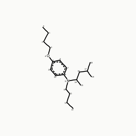 CCCCOc1ccc(N(CCCC)C(C)CC(C)C)cc1